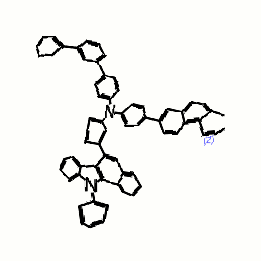 C/C=C\c1c(C)ccc2cc(-c3ccc(N(c4ccc(-c5cccc(C6=CC=CCC6)c5)cc4)c4cccc(-c5cc6ccccc6c6c5c5ccccc5n6-c5ccccc5)c4)cc3)ccc12